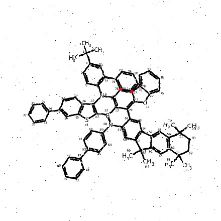 CC(C)(C)c1ccc(N2c3cc4c(oc5ccccc54)c4c3B(c3sc5cc(-c6ccccc6)ccc5c32)N(c2ccc(-c3ccccc3)cc2)c2cc3c(cc2-4)-c2cc4c(cc2C3(C)C)C(C)(C)CCC4(C)C)c(-c2ccccc2)c1